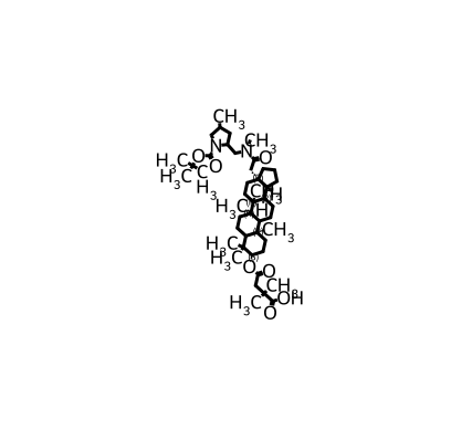 CC1CC(CN(C)C(=O)C[C@]23CCC[C@@H]2[C@H]2CCC4[C@@]5(C)CC[C@H](OC(=O)CC(C)(C)C(=O)O)C(C)(C)C5CC[C@@]4(C)[C@]2(C)CC3)N(C(=O)OC(C)(C)C)C1